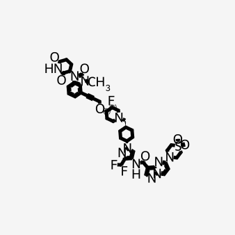 Cn1c(=O)n(C2CCC(=O)NC2=O)c2cccc(C#CCO[C@@H]3CCN(C[C@H]4CC[C@H](n5cc(NC(=O)c6cnn7ccc(N8CCS(=O)(=O)CC8)nc67)c(C(F)F)n5)CC4)C[C@H]3F)c21